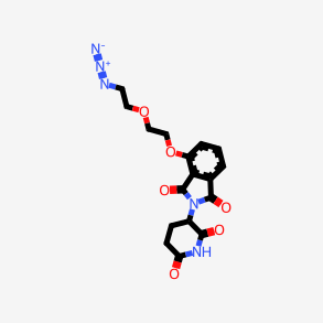 [N-]=[N+]=NCCOCCOc1cccc2c1C(=O)N(C1CCC(=O)NC1=O)C2=O